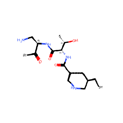 CC(C)CC1CNCC(C(=O)N[C@H](C(=O)N[C@H](CN)C(=O)C(C)C)[C@H](C)O)C1